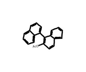 CC(=O)Oc1ccc2ccccc2c1-c1cccc2ccccc12